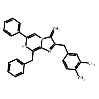 C=c1c(Cc2ccc(C)c(C)c2)nc2n1C=C(c1ccccc1)NC=2Cc1ccccc1